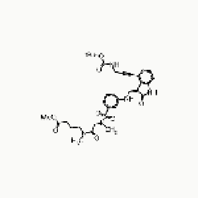 COC(=O)CCCN(C)C(=O)CN(C)S(=O)(=O)c1cccc(N/C=C2\C(=O)Nc3cccc(C#CCNC(=O)OC(C)(C)C)c32)c1